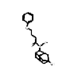 CC(C)N(C(=O)CCCOc1ccccc1)C1C2CC3CC1CC(O)(C3)C2